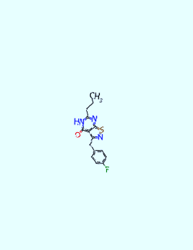 CCCc1nc2snc(Cc3ccc(F)cc3)c2c(=O)[nH]1